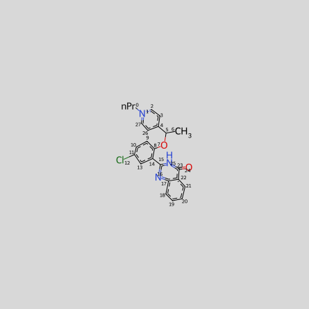 CCC[n+]1ccc(C(C)Oc2ccc(Cl)cc2-c2nc3ccccc3c(=O)[nH]2)cc1